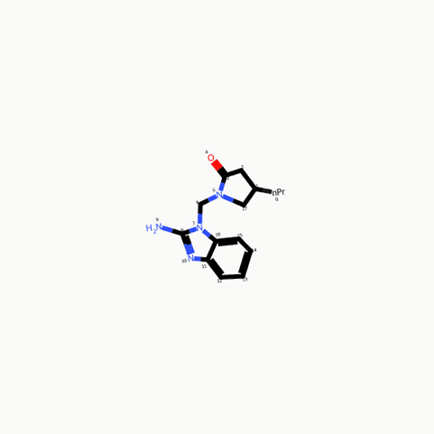 CCCC1CC(=O)N(Cn2c(N)nc3ccccc32)C1